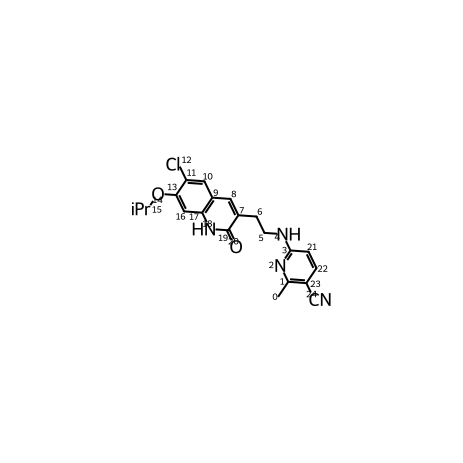 Cc1nc(NCCc2cc3cc(Cl)c(OC(C)C)cc3[nH]c2=O)ccc1C#N